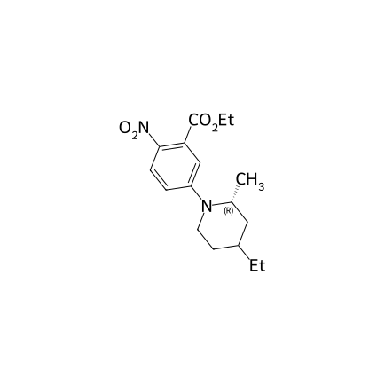 CCOC(=O)c1cc(N2CCC(CC)C[C@H]2C)ccc1[N+](=O)[O-]